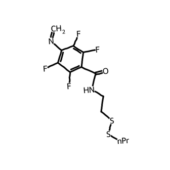 C=Nc1c(F)c(F)c(C(=O)NCCSSCCC)c(F)c1F